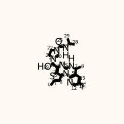 Cc1cc2nc(NC(C)c3cncc(F)c3)nc(C(O)N3CCN(C(=O)NC(C)C)C3)c2s1